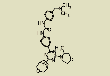 CC1COCCN1c1nc(-c2ccc(NC(=O)Nc3ccc(CN(C)C)cc3)cc2)nc(N2C3CCC2COC3)n1